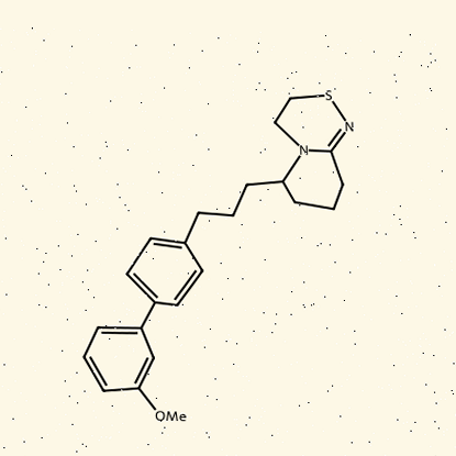 COc1cccc(-c2ccc(CCCC3CCCC4=NSCCN43)cc2)c1